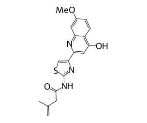 C=C(C)CC(=O)Nc1nc(-c2cc(O)c3ccc(OC)cc3n2)cs1